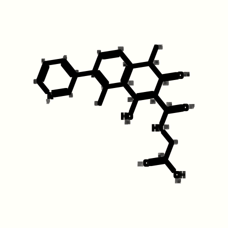 Cc1c(-c2cccnc2)ccc2c1C(O)=C(C(=O)NCC(=O)O)C(=O)C2C